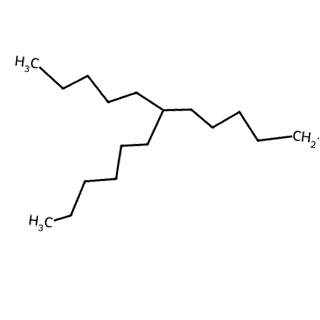 [CH2]CCCCC(CCCCC)CCCCCC